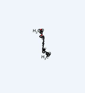 CN1CCOc2cc(/C=C3\CCCC4=C3C=CN(CCCCSSCCCC[n+]3ccc5c(c3)CCC/C5=C\c3ccc5c(c3)OCCN5C)C4)ccc21